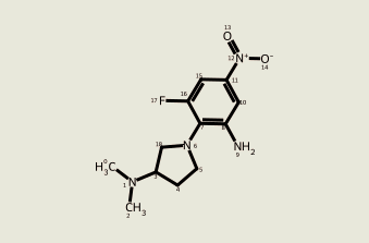 CN(C)C1CCN(c2c(N)cc([N+](=O)[O-])cc2F)C1